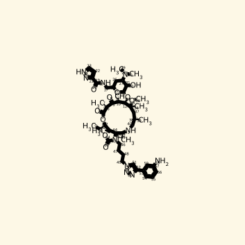 CC[C@H]1OC(=O)[C@H](C)C(=O)[C@H](C)[C@@H](O[C@@H]2OC(CNC(=O)c3cc[nH]n3)CC(N(C)C)C2O)[C@](C)(OC)C[C@@H](C)CN[C@H](C)[C@H]2N(CCCCn3cc(-c4cccc(N)c4)nn3)C(=O)O[C@]12C